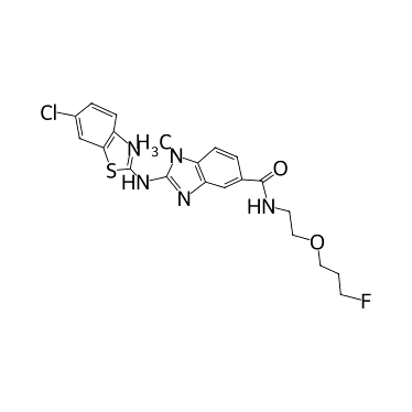 Cn1c(Nc2nc3ccc(Cl)cc3s2)nc2cc(C(=O)NCCOCCCF)ccc21